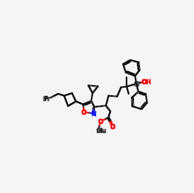 CC(C)CC1CC(c2onc(C(CCCC(C)(C)[Si](O)(c3ccccc3)c3ccccc3)CC(=O)OC(C)(C)C)c2C2CC2)C1